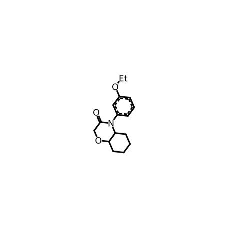 CCOc1cccc(N2C(=O)COC3CCCCC32)c1